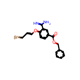 N=C(N)c1cc(C(=O)OCc2ccccc2)ccc1OCCCBr